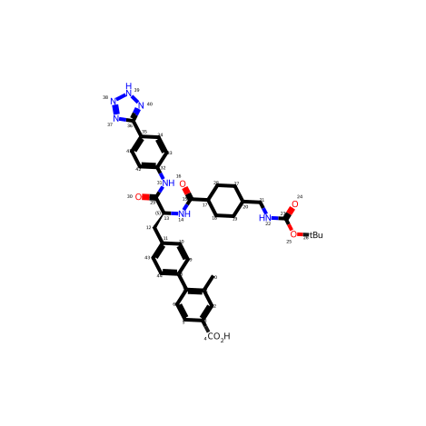 Cc1cc(C(=O)O)ccc1-c1ccc(C[C@H](NC(=O)C2CCC(CNC(=O)OC(C)(C)C)CC2)C(=O)Nc2ccc(-c3nn[nH]n3)cc2)cc1